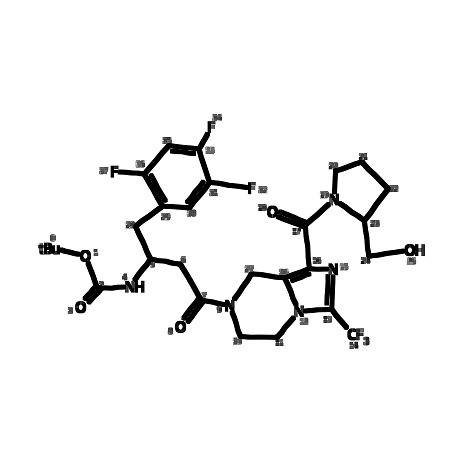 CC(C)(C)OC(=O)NC(CC(=O)N1CCn2c(C(F)(F)F)nc(C(=O)N3CCCC3CO)c2C1)Cc1cc(F)c(F)cc1F